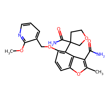 COc1ncccc1COc1ccc2oc(C)c(C(N)=O)c2c1C1(C(N)=O)CCOC1